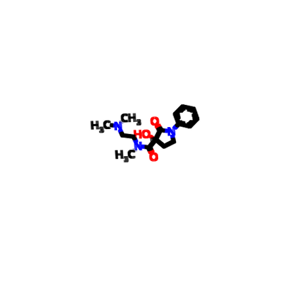 CN(C)CCN(C)C(=O)[C@@]1(O)CCN(c2ccccc2)C1=O